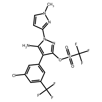 Cn1ccc(-n2nc(OS(=O)(=O)C(F)(F)F)c(-c3cc(Cl)cc(C(F)(F)F)c3)c2N)n1